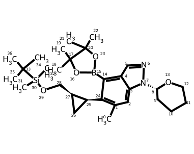 Cc1cc2c(cnn2[C@H]2CCCCO2)c(B2OC(C)(C)C(C)(C)O2)c1[C@H]1C[C@H]1CO[Si](C)(C)C(C)(C)C